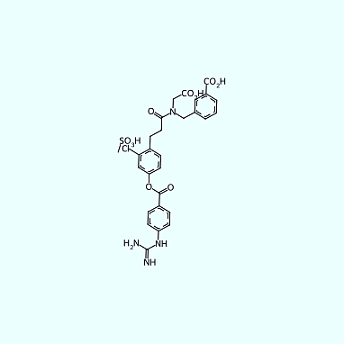 CS(=O)(=O)O.N=C(N)Nc1ccc(C(=O)Oc2ccc(CCC(=O)N(CC(=O)O)Cc3cccc(C(=O)O)c3)c(Cl)c2)cc1